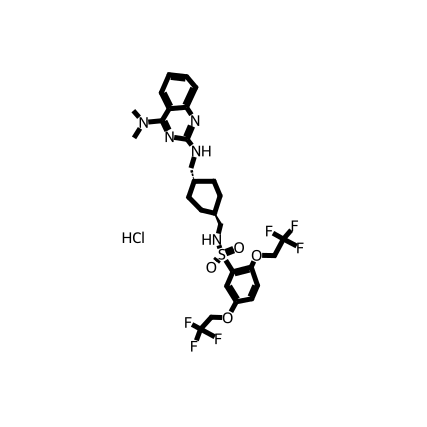 CN(C)c1nc(NC[C@H]2CC[C@H](CNS(=O)(=O)c3cc(OCC(F)(F)F)ccc3OCC(F)(F)F)CC2)nc2ccccc12.Cl